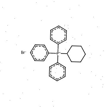 [Br-].c1ccc([P+](c2ccccc2)(c2ccccc2)C2CCCCC2)cc1